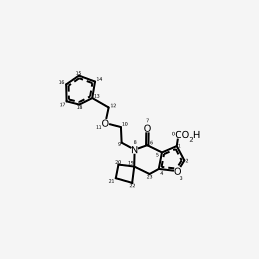 O=C(O)c1coc2c1C(=O)N(CCOCc1ccccc1)C1(CCC1)C2